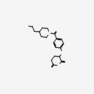 CC(=O)CCC1CCN(C(=O)c2ccc(OC3CCC(=O)NC3=O)cc2)CC1